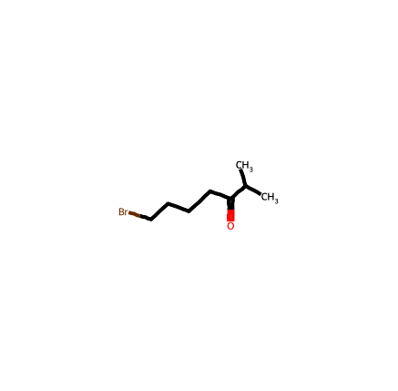 CC(C)C(=O)CCCCBr